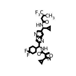 C[C@H](CC(=O)N[C@@H](c1cnn2cc([C@@H](NC(=O)c3conc3C3CC3)C3CCC(F)(F)CC3)nc2c1)C1CC1)C(F)(F)F